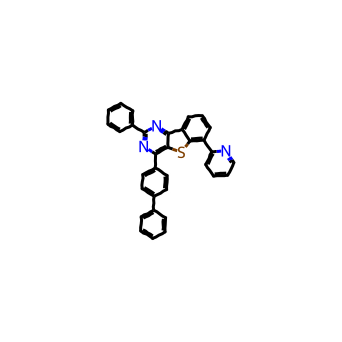 c1ccc(-c2ccc(-c3nc(-c4ccccc4)nc4c3sc3c(-c5ccccn5)cccc34)cc2)cc1